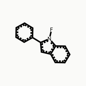 Fn1c(-c2ccccc2)cc2ccccc21